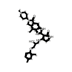 Cc1ccc(OCC(O)CNc2cc[nH]c(=O)c2-c2nc3c(C)c4c(cc3[nH]2)C(=O)N(C2CCN(C)CC2)C4)c(C)c1